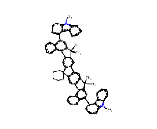 Cn1c2ccccc2c2c(-c3cc4c(c5ccccc35)-c3cc5c(cc3C4(C)C)-c3cc4c(cc3C53CCCCC3)-c3c(cc(-c5cccc6c5c5ccccc5n6C)c5ccccc35)C4(C)C)cccc21